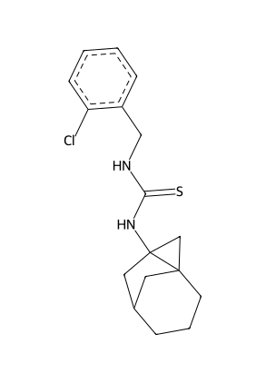 S=C(NCc1ccccc1Cl)NC12CC3CCCC1(C3)C2